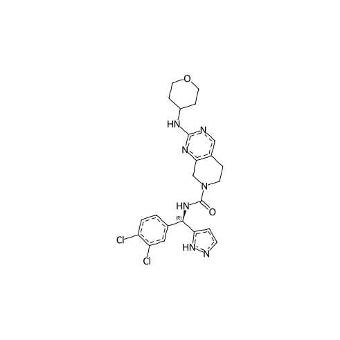 O=C(N[C@H](c1ccc(Cl)c(Cl)c1)c1ccn[nH]1)N1CCc2cnc(NC3CCOCC3)nc2C1